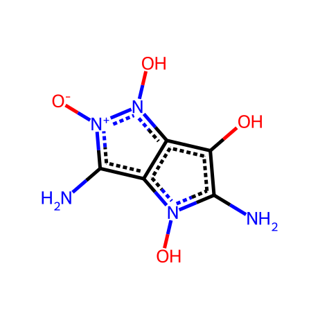 Nc1c(O)c2c(c(N)[n+]([O-])n2O)n1O